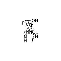 CCc1c(F)ccc2cc(O)cc(-c3ncc4c(N5CCCC6(CNC6)C5)nc(OC[C@@]56CCCN5C[C@H](F)C6)nc4c3F)c12